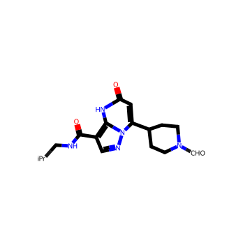 CC(C)CNC(=O)c1cnn2c(C3CCN(C=O)CC3)cc(=O)[nH]c12